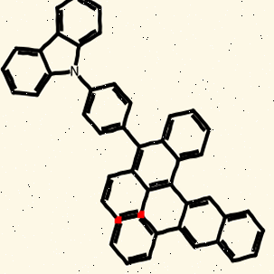 c1ccc(-c2cc3ccccc3cc2-c2c3ccccc3c(-c3ccc(-n4c5ccccc5c5ccccc54)cc3)c3ccccc23)cc1